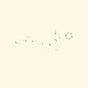 CC(=O)NC(Cc1ccc(O)cc1)C(=O)N1CCC[C@@H]1C(=O)N1C[C@@H](O)C[C@@H]1C(=O)NCC(=O)NC(C)C(=O)NCC(N)=O